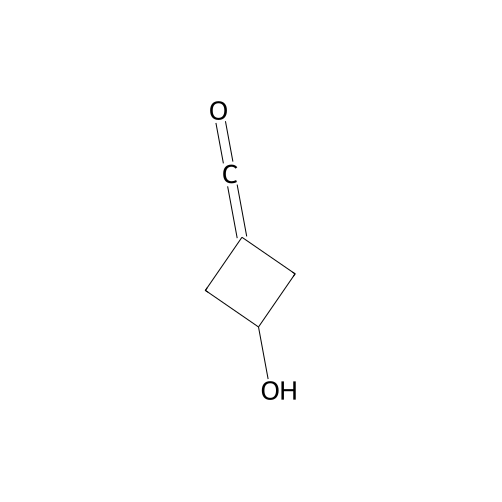 O=C=C1CC(O)C1